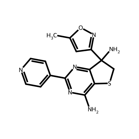 Cc1cc(C2(N)CSc3c(N)nc(-c4ccncc4)nc32)no1